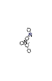 CC1CC(c2ccccc2)=Cc2c1n(-c1ccc(C/N=C\c3ccccc3)cc1)c1ccccc21